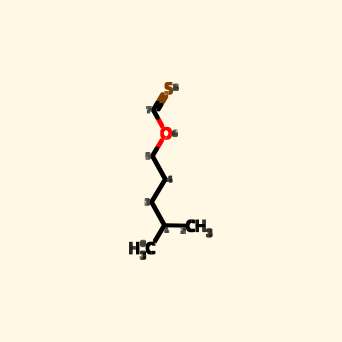 CC(C)CCCOC=S